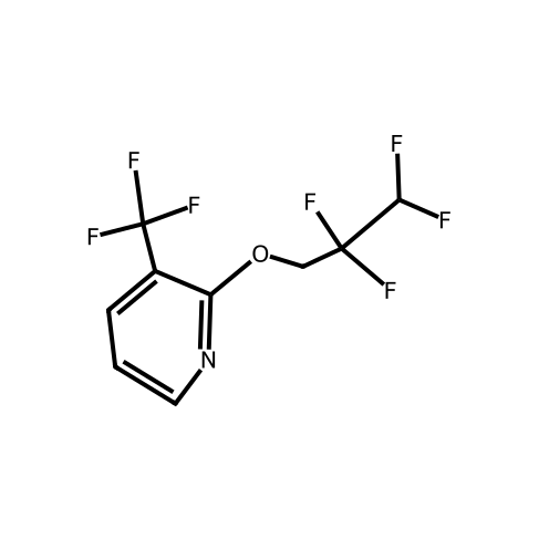 FC(F)C(F)(F)COc1ncccc1C(F)(F)F